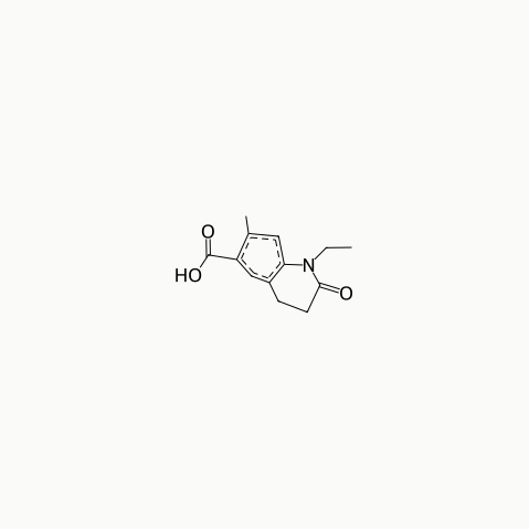 CCN1C(=O)CCc2cc(C(=O)O)c(C)cc21